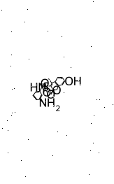 Cc1c(S(=O)(=O)Nc2cccc(N)c2)c(=O)oc2cc(O)ccc12